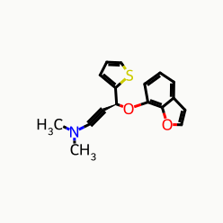 CN(C)C#C[C@H](Oc1cccc2ccoc12)c1cccs1